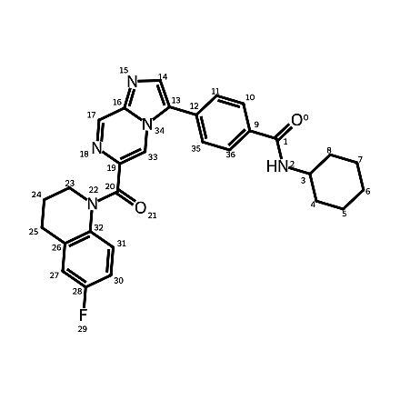 O=C(NC1CCCCC1)c1ccc(-c2cnc3cnc(C(=O)N4CCCc5cc(F)ccc54)cn23)cc1